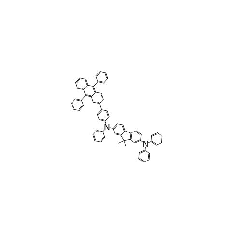 CC1(C)c2cc(N(c3ccccc3)c3ccccc3)ccc2-c2ccc(N(c3ccccc3)c3ccc(-c4ccc5c(-c6ccccc6)c6ccccc6c(-c6ccccc6)c5c4)cc3)cc21